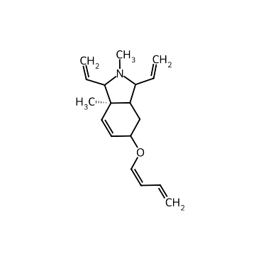 C=C/C=C\OC1C=C[C@]2(C)C(C1)C(C=C)N(C)C2C=C